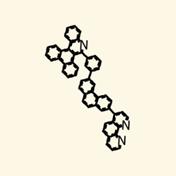 c1cc(-c2ccc3ccc4cc(-c5ccnc6c5ccc5cccnc56)ccc4c3c2)cc(-c2nc3ccccc3c3c4ccccc4c4ccccc4c23)c1